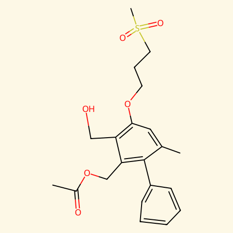 CC(=O)OCc1c(CO)c(OCCCS(C)(=O)=O)cc(C)c1-c1ccccc1